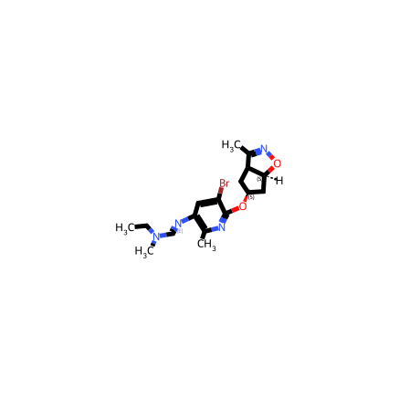 CCN(C)/C=N/c1cc(Br)c(O[C@H]2CC3C(C)=NO[C@H]3C2)nc1C